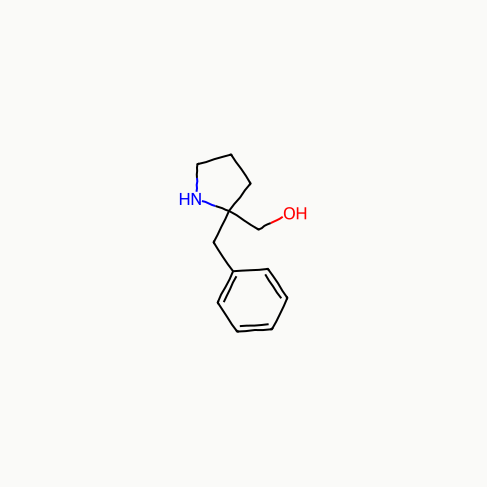 OCC1(Cc2ccccc2)CCCN1